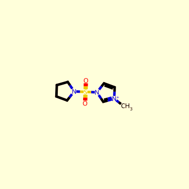 C[n+]1ccn(S(=O)(=O)N2CCCC2)c1